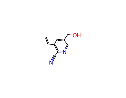 C=Cc1cc(CO)cnc1C#N